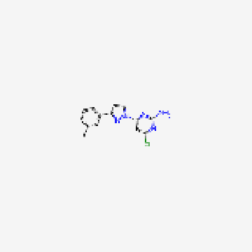 Cc1cccc(-c2ccn(-c3cc(Cl)nc(N)n3)n2)c1